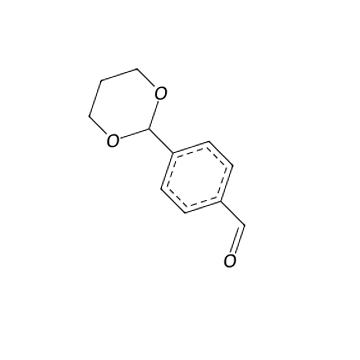 O=Cc1ccc(C2OCCCO2)cc1